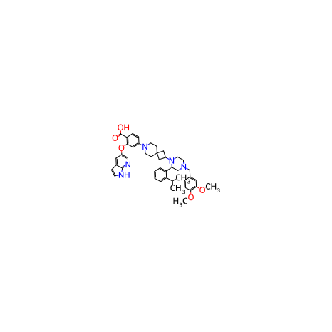 COc1ccc(CN2CCN(C3CC4(CCN(c5ccc(C(=O)O)c(Oc6cnc7[nH]ccc7c6)c5)CC4)C3)[C@H](c3ccccc3C(C)C)C2)cc1OC